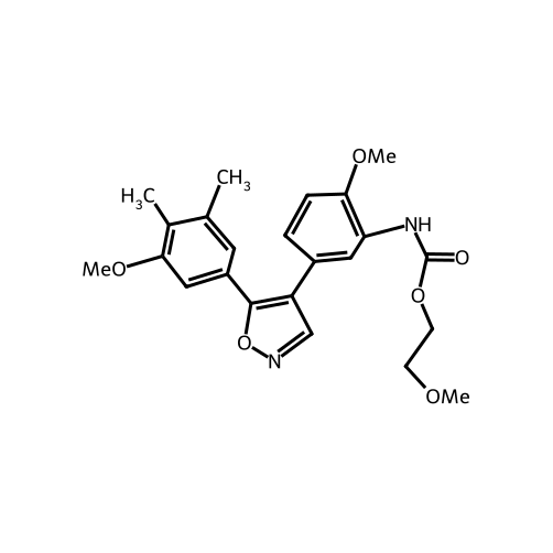 COCCOC(=O)Nc1cc(-c2cnoc2-c2cc(C)c(C)c(OC)c2)ccc1OC